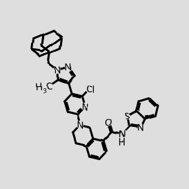 Cc1c(-c2ccc(N3CCc4cccc(C(=O)Nc5nc6ccccc6s5)c4C3)nc2Cl)cnn1CC12CC3CC(CC(C3)C1)C2